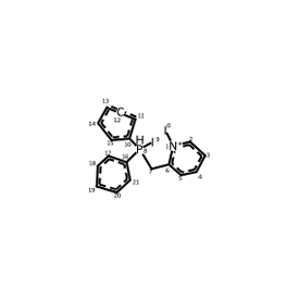 I[n+]1ccccc1C[PH](I)(c1ccccc1)c1ccccc1